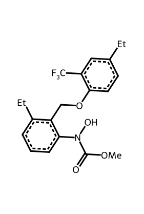 CCc1ccc(OCc2c(CC)cccc2N(O)C(=O)OC)c(C(F)(F)F)c1